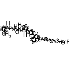 CCCOCCOCCOCCOCCOc1ccc(-c2ccc(C(CC(=O)O)NC(=O)CNC(=O)CCCCNc3cccc(C)n3)cc2)c2ccccc12